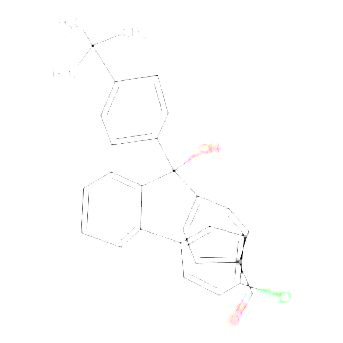 CC(C)(C)c1ccc(C(O)(c2ccc(C=O)cc2)c2ccccc2-c2ccc(Cl)cc2)cc1